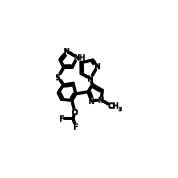 Cn1cc(-n2cccn2)c(-c2cc(Sc3cn[nH]c3)ccc2OC(F)F)n1